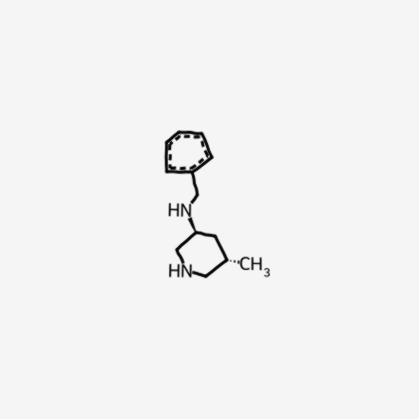 C[C@@H]1CNC[C@@H](NCc2ccccc2)C1